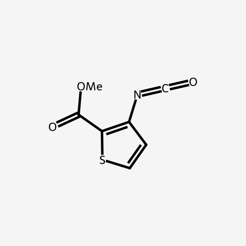 COC(=O)c1sccc1N=C=O